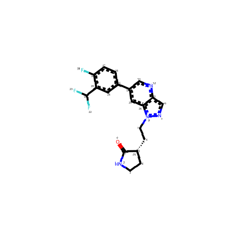 O=C1NCC[C@H]1CCn1ncc2ncc(-c3ccc(F)c(C(F)F)c3)cc21